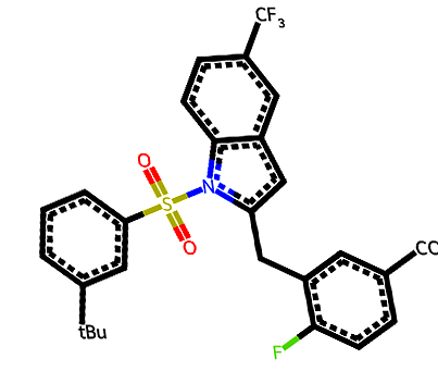 CC(C)(C)c1cccc(S(=O)(=O)n2c(Cc3cc(C(=O)O)ccc3F)cc3cc(C(F)(F)F)ccc32)c1